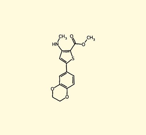 CNc1cc(-c2ccc3c(c2)OCCO3)sc1C(=O)OC